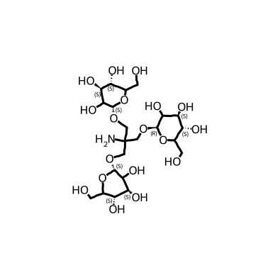 NC(CO[C@@H]1OC(CO)[C@@H](O)[C@H](O)C1O)(CO[C@H]1OC(CO)[C@@H](O)[C@H](O)C1O)CO[C@H]1OC(CO)[C@@H](O)[C@H](O)C1O